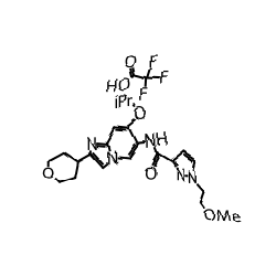 COCCn1ccc(C(=O)Nc2cn3cc(C4CCOCC4)nc3cc2OC(C)C)n1.O=C(O)C(F)(F)F